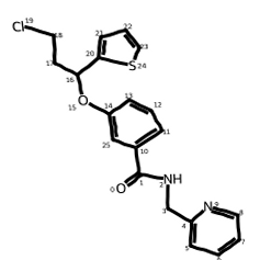 O=C(NCc1ccccn1)c1cccc(OC(CCCl)c2cccs2)c1